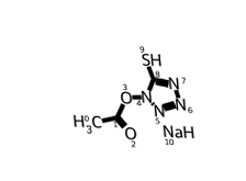 CC(=O)On1nnnc1S.[NaH]